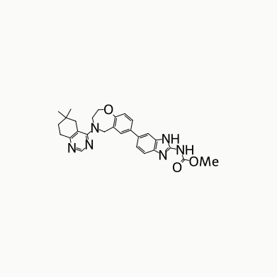 COC(=O)Nc1nc2ccc(-c3ccc4c(c3)CN(c3ncnc5c3CC(C)(C)CC5)CCO4)cc2[nH]1